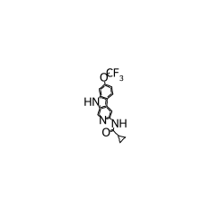 O=C(Nc1cc2c(cn1)[nH]c1cc(OC(F)(F)F)ccc12)C1CC1